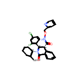 CC(=O)NC1CCCC[C@@H]1N1C(=O)c2ccccc2[C@@H](C(=O)NOCc2ccccn2)[C@@H]1c1ccc(Cl)cc1Cl